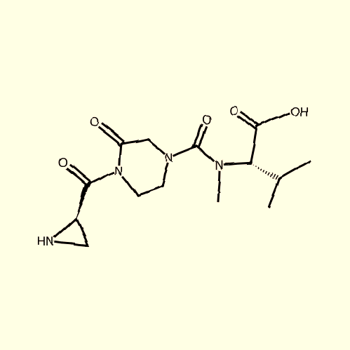 CC(C)[C@@H](C(=O)O)N(C)C(=O)N1CCN(C(=O)[C@H]2CN2)C(=O)C1